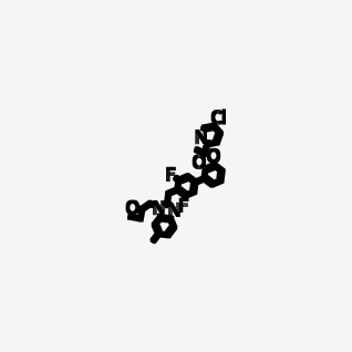 Cc1ccc2nc(Cc3c(F)cc(-c4cccc5c4OC(C)(c4ccc(Cl)cn4)O5)cc3F)n(CC3CCO3)c2c1